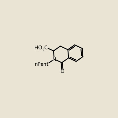 CCCCCN1C(=O)c2ccccc2CC1C(=O)O